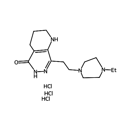 CCN1CCN(CCc2n[nH]c(=O)c3c2NCCC3)CC1.Cl.Cl.Cl